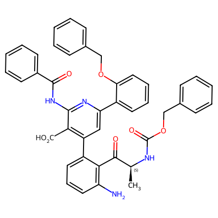 C[C@H](NC(=O)OCc1ccccc1)C(=O)c1c(N)cccc1-c1cc(-c2ccccc2OCc2ccccc2)nc(NC(=O)c2ccccc2)c1C(=O)O